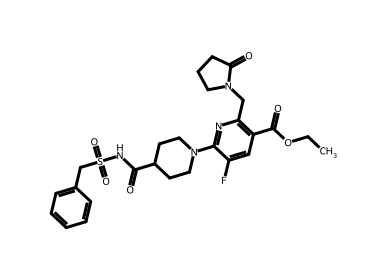 CCOC(=O)c1cc(F)c(N2CCC(C(=O)NS(=O)(=O)Cc3ccccc3)CC2)nc1CN1CCCC1=O